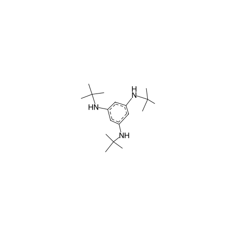 CC(C)(C)Nc1cc(NC(C)(C)C)cc(NC(C)(C)C)c1